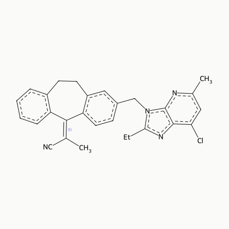 CCc1nc2c(Cl)cc(C)nc2n1Cc1ccc2c(c1)CCc1ccccc1/C2=C(/C)C#N